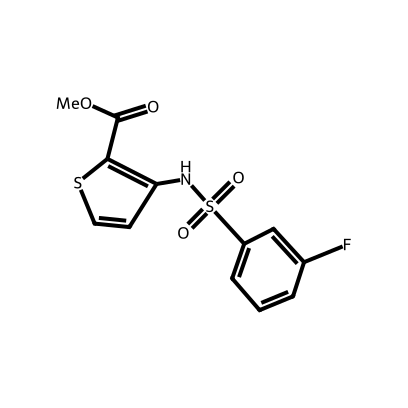 COC(=O)c1sccc1NS(=O)(=O)c1cccc(F)c1